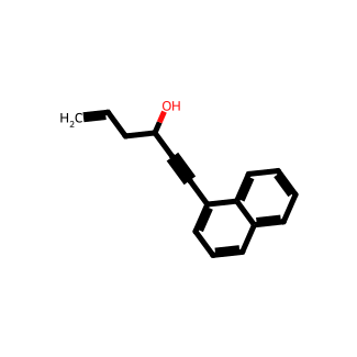 C=CCC(O)C#Cc1cccc2ccccc12